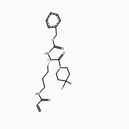 C=CC(=O)NCCCC[C@H](NC(=O)OCc1ccccc1)C(=O)N1CCC(F)(F)CC1